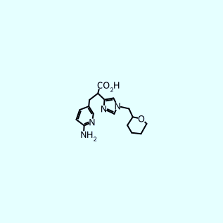 Nc1ccc(CC(C(=O)O)c2cn(CC3CCCCO3)cn2)cn1